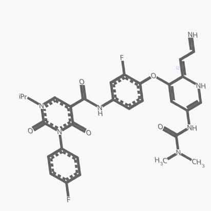 CC(C)n1cc(C(=O)Nc2ccc(OC3=CC(NC(=O)N(C)C)=CN/C3=C\C=N)c(F)c2)c(=O)n(-c2ccc(F)cc2)c1=O